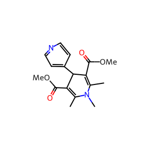 COC(=O)C1=C(C)N(C)C(C)=C(C(=O)OC)C1c1ccncc1